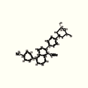 COc1c(-c2cnc(N3CC(C)O[C@@H](C)C3)cn2)cnc2c(-c3ccc(C#N)cc3)cccc12